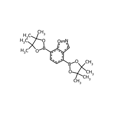 CC1(C)OB(c2ccc(B3OC(C)(C)C(C)(C)O3)c3oncc23)OC1(C)C